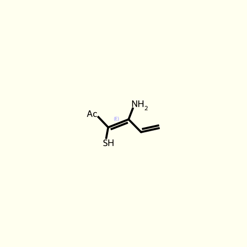 C=C/C(N)=C(\S)C(C)=O